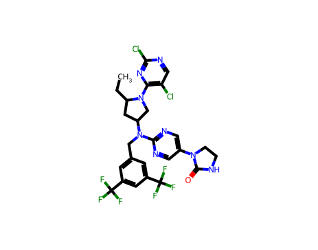 CCC1CC(N(Cc2cc(C(F)(F)F)cc(C(F)(F)F)c2)c2ncc(N3CCNC3=O)cn2)CN1c1nc(Cl)ncc1Cl